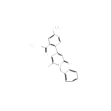 COC(=O)c1cc(OC)ccc1-c1cc(C)n(Cc2ccccc2)c(=O)c1